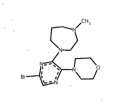 CN1CCCN(c2nc(Br)cnc2N2CCOCC2)CC1